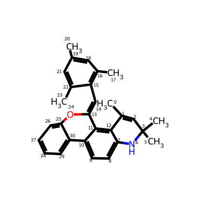 CC1=CC(C)(C)Nc2ccc3c(c21)C(=Cc1c(C)cc(C)cc1C)Oc1ccccc1-3